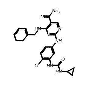 NC(=O)c1cnc(Nc2ccc(Cl)c(NC(=O)NC3CC3)c2)nc1NCC1=CC=CCC1